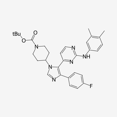 Cc1ccc(Nc2nccc(-c3c(-c4ccc(F)cc4)ncn3C3CCN(C(=O)OC(C)(C)C)CC3)n2)cc1C